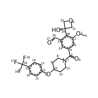 COc1cc(C(=O)N2CCC(Oc3ccc(C(F)(F)F)cc3)CC2)cc(C=O)c1C1(O)COC1